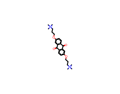 C[N+](C)(C)CCCOc1ccc2c(c1)C(=O)c1ccc(OCCC[N+](C)(C)C)cc1C2=O